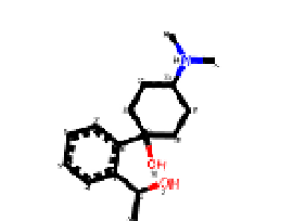 CC(O)c1ccccc1C1(O)CCC(N(C)C)CC1